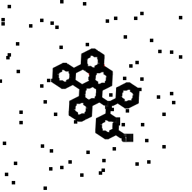 N#Cc1cccc(N(c2ccccc2)c2c3ccccc3c(-c3ccccc3-c3ccccc3)c3ccccc23)n1